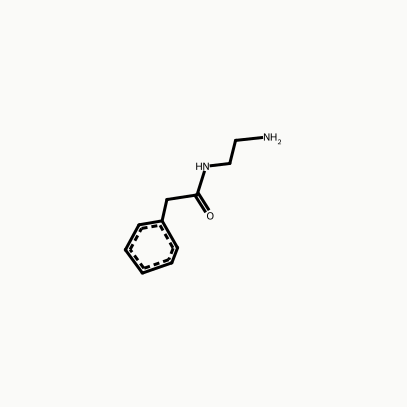 NCCNC(=O)Cc1ccccc1